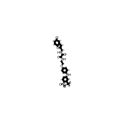 O=C(NCCOc1ccc(Nc2ccc([N+](=O)[O-])c(C(F)(F)F)c2)cc1)C(=O)NCc1cc2cc(Cl)ccc2o1